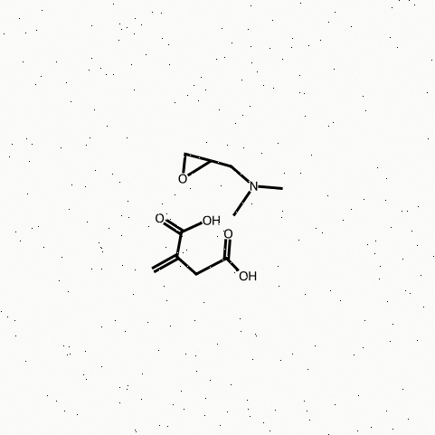 C=C(CC(=O)O)C(=O)O.CN(C)CC1CO1